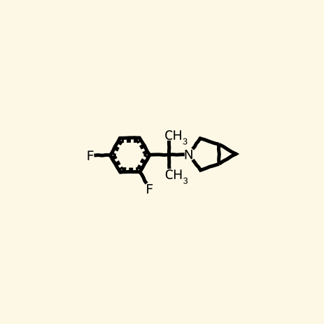 CC(C)(c1ccc(F)cc1F)N1CC2CC2C1